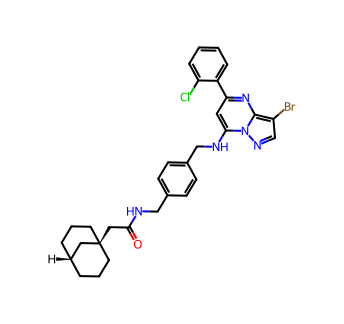 O=C(C[C@]12CCC[C@H](CCC1)C2)NCc1ccc(CNc2cc(-c3ccccc3Cl)nc3c(Br)cnn23)cc1